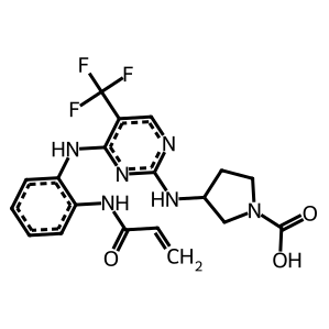 C=CC(=O)Nc1ccccc1Nc1nc(NC2CCN(C(=O)O)C2)ncc1C(F)(F)F